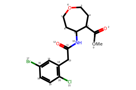 COC(=O)C1CCOCCC1NC(=O)Cc1cc(Br)ccc1Cl